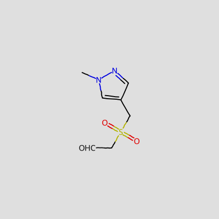 Cn1cc(CS(=O)(=O)CC=O)cn1